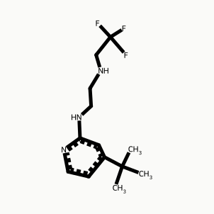 CC(C)(C)c1ccnc(NCCNCC(F)(F)F)c1